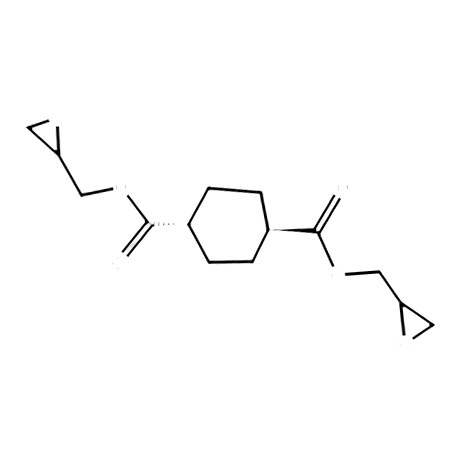 O=C(OCC1CO1)[C@H]1CC[C@H](C(=O)OCC2CO2)CC1